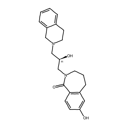 O=C1c2ccc(O)cc2CCCN1C[C@H](O)CN1CCc2ccccc2C1